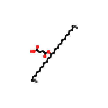 CCCCCCCCCCCCC(CCCCCCCCCCC)OC(=O)CCC(=O)O